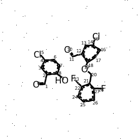 O=Cc1cc(Cl)ccc1O.O=Cc1cc(Cl)ccc1OCc1c(F)cccc1F